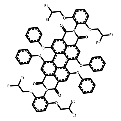 CCC(CC)COc1cccc(OCC(CC)CC)c1N1C(=O)c2cc(Oc3ccccc3)c3c4c(Oc5ccccc5)cc5c6c(cc(Oc7ccccc7)c(c7c(Oc8ccccc8)cc(c2c37)C1=O)c64)C(=O)N(c1c(OCC(CC)CC)cccc1OCC(CC)CC)C5=O